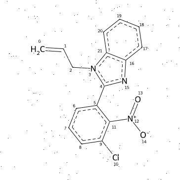 C=CCn1c(-c2cccc(Cl)c2[N+](=O)[O-])nc2ccccc21